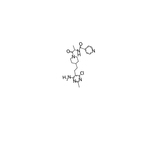 Cc1nc(N)c(CCC2CCN(C(=O)C(C)NC(=O)c3ccncc3)CC2)c(Cl)n1